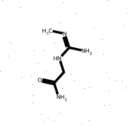 CN=C(N)NCC(N)=O